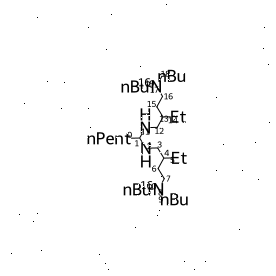 CCCCCC(NCC(CC)CC[16N](CCCC)CCCC)NCC(CC)CC[16N](CCCC)CCCC